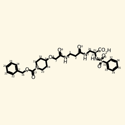 O=C(CCNC(=O)COC1CCN(C(=O)OCc2ccccc2)CC1)NC[C@H](NS(=O)(=O)c1ccccc1)C(=O)O